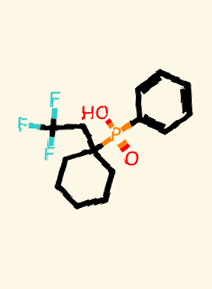 O=P(O)(c1ccccc1)C1(CC(F)(F)F)CCCCC1